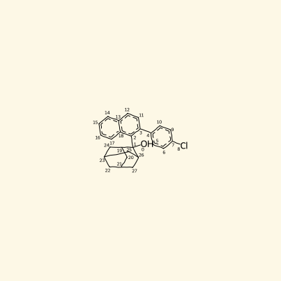 OC1(c2c(-c3ccc(Cl)cc3)ccc3ccccc23)C2CC3CC(C2)CC1C3